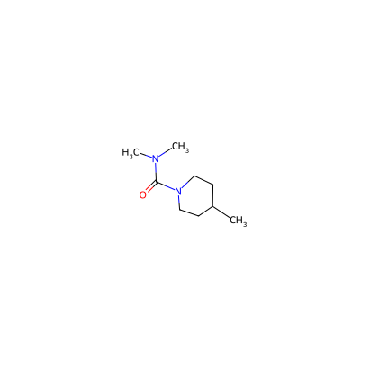 CC1CCN(C(=O)N(C)C)CC1